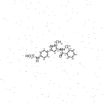 Cn1nc(-c2ccc(NC(=O)O)cc2)cc1NC(=O)c1ccccc1Cl